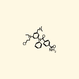 CCN(CCCl)c1cc(CN(C)C)cc(N(C(=O)c2ccc(C(N)=O)cc2)c2ccccc2)c1